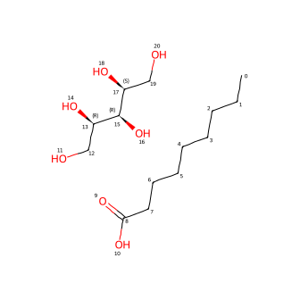 CCCCCCCCC(=O)O.OC[C@@H](O)[C@H](O)[C@@H](O)CO